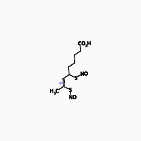 C/C(=C/C(CCCCC(=O)O)SN=O)SN=O